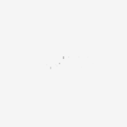 C=C(C)C(=O)OCC(COC(=O)C(=C)C)Cc1ccc(-c2ccc(-c3ccc(OC(=O)C(C)(C)C)cc3)c(F)c2)cc1